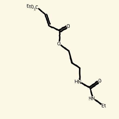 CCNC(=O)NCCCOC(=O)/C=C/C(=O)OCC